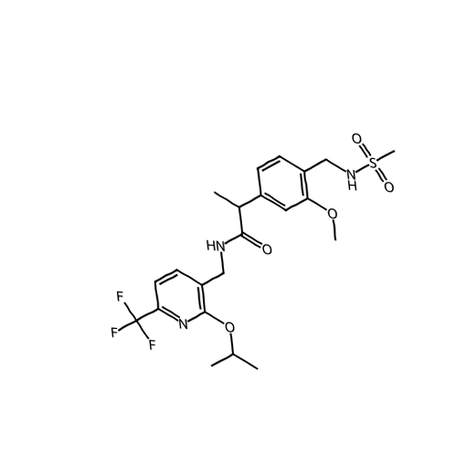 COc1cc(C(C)C(=O)NCc2ccc(C(F)(F)F)nc2OC(C)C)ccc1CNS(C)(=O)=O